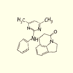 Cc1cc(C)nc(Nc2ccccc2)n1.O=C1CCc2cccc3c2N1CC3